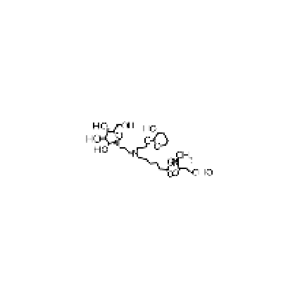 CN(OC(=O)CCCCCN(CCC[C@H]1OC(CO)[C@@H](O)C(O)C1O)CCOC1OCCCC1O)C(=O)CCC=O